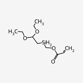 C=CC(=O)OC[SiH2]CC(OCC)OCC